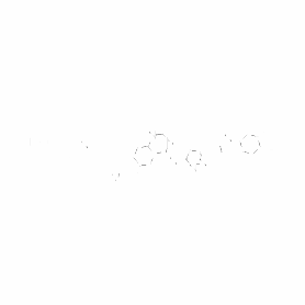 COc1cc2c(Nc3cc(CC(=O)Nc4ccc(F)c(Cl)c4)[nH]n3)ncnc2cc1OCCCN1CCC(CO)CC1